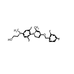 CC1=CC(OCc2ccc(F)cc2F)=CCN1c1c(F)cc(N(C)CCO)cc1F